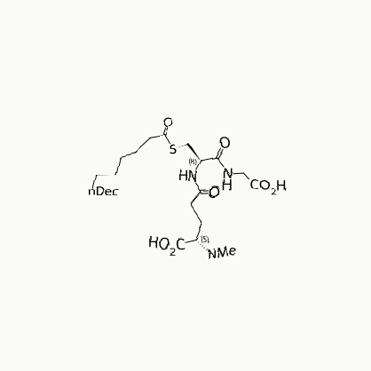 CCCCCCCCCCCCCCCC(=O)SC[C@H](NC(=O)CC[C@H](NC)C(=O)O)C(=O)NCC(=O)O